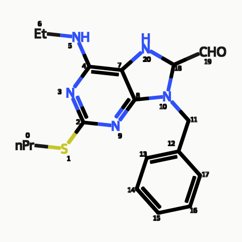 CCCSc1nc(NCC)c2c(n1)N(Cc1ccccc1)C(C=O)N2